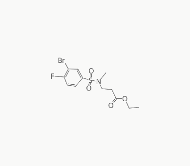 CCOC(=O)CCN(C)S(=O)(=O)c1ccc(F)c(Br)c1